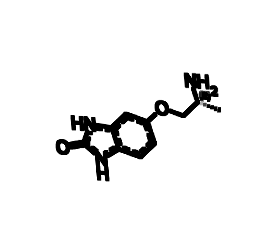 C[C@@H](N)COc1ccc2[nH]c(=O)[nH]c2c1